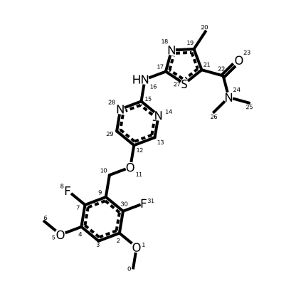 COc1cc(OC)c(F)c(COc2cnc(Nc3nc(C)c(C(=O)N(C)C)s3)nc2)c1F